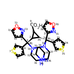 O=C(O)C1C([C@@](c2ccsc2)(c2ccon2)N2CCNCC2)C1[C@@](c1ccsc1)(c1ccon1)N1CCNCC1